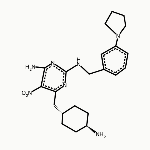 Nc1nc(NCc2cccc(N3CCCC3)c2)nc(C[C@H]2CC[C@H](N)CC2)c1[N+](=O)[O-]